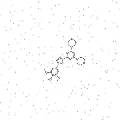 COc1cc(-c2nnc(-c3nc(N4CCOCC4)nc(N4CCOCC4)n3)o2)cc(OC)c1O